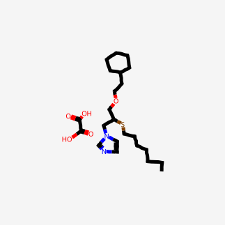 CCCCCCCSC(COCCC1CCCCC1)Cn1ccnc1.O=C(O)C(=O)O